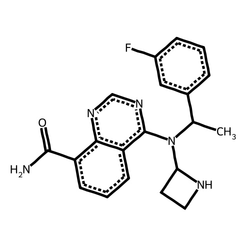 CC(c1cccc(F)c1)N(c1ncnc2c(C(N)=O)cccc12)C1CCN1